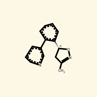 CC1=NO[C@@H](c2ccccc2-c2cccnc2)C1